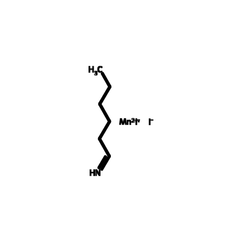 CCCCCC=N.[I-].[I-].[Mn+2]